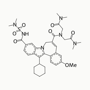 COc1ccc2c(c1)C=C(C(=O)N(CC(=O)N(C)C)CC(=O)N(C)C)Cn1c-2c(C2CCCCC2)c2ccc(C(=O)NS(=O)(=O)N(C)C)cc21